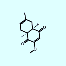 COC1=CC(=O)[C@@H]2CC(C)=CC[C@]2(C)C1=O